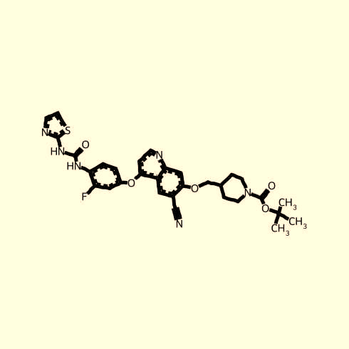 CC(C)(C)OC(=O)N1CCC(COc2cc3nccc(Oc4ccc(NC(=O)Nc5nccs5)c(F)c4)c3cc2C#N)CC1